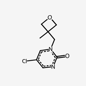 CC1(Cn2cc(Cl)cnc2=O)COC1